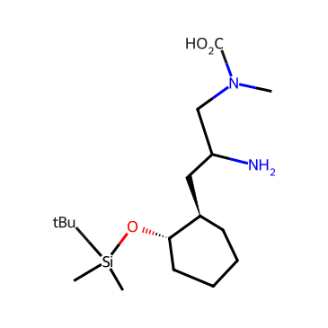 CN(CC(N)C[C@H]1CCCC[C@@H]1O[Si](C)(C)C(C)(C)C)C(=O)O